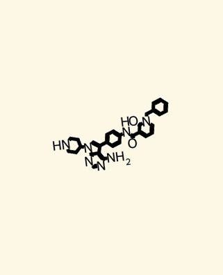 Nc1ncnc2c1c(-c1ccc(NC(=O)c3cccn(Cc4ccccc4)c3=O)cc1)cn2C1CCNCC1